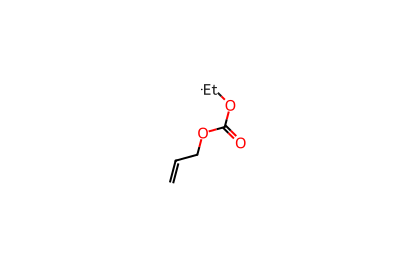 C=CCOC(=O)O[CH]C